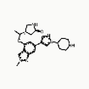 CC(Oc1cc(-c2cnn(C3CCNCC3)c2)cc2nn(C)cc12)[C@H]1CNC(=O)C1